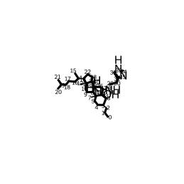 CCC[C@H]1CC[C@]2(C)[C@H]3CC[C@]4(C)[C@@H](C(C)CCCC(C)C)CC[C@H]4[C@@H]3C[C@@H](NCCc3c[nH]cn3)[C@@]2(O)C1